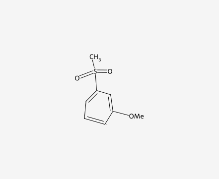 COc1[c]ccc(S(C)(=O)=O)c1